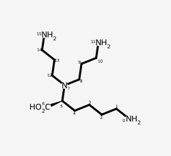 NCCCC[C@@H](C(=O)O)N(CCCN)CCCN